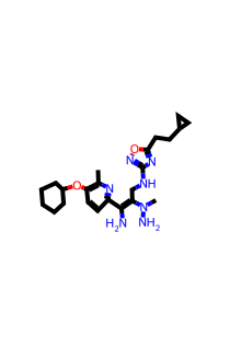 Cc1nc(/C(N)=C(\CNc2noc(CCC3CC3)n2)N(C)N)ccc1OC1CCCCC1